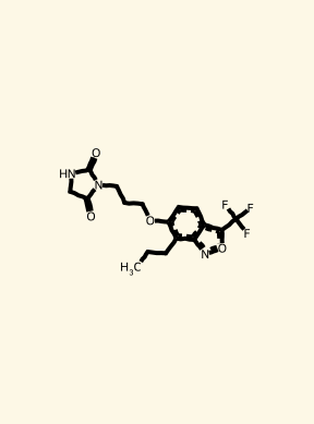 CCCc1c(OCCCN2C(=O)CNC2=O)ccc2c(C(F)(F)F)onc12